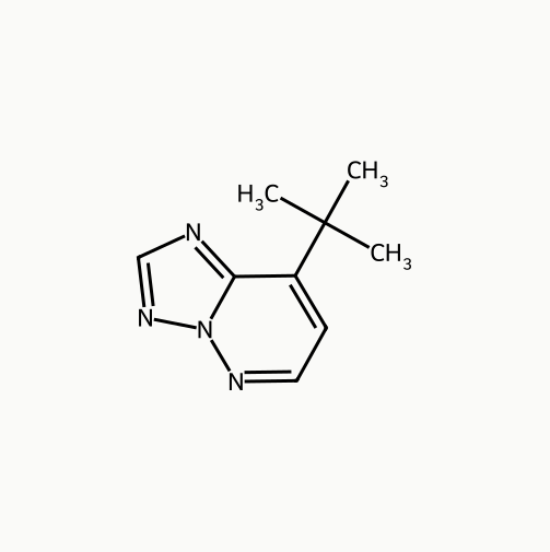 CC(C)(C)c1ccnn2ncnc12